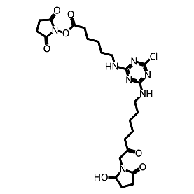 O=C(CCCCCNc1nc(Cl)nc(NCCCCCC(=O)ON2C(=O)CCC2=O)n1)CN1C(=O)CCC1O